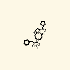 C[C@@H](Cc1ccccc1)C(=O)N1CCC(=O)N2[C@H](CC[C@H]2C(=O)N2CCCC2)CC1